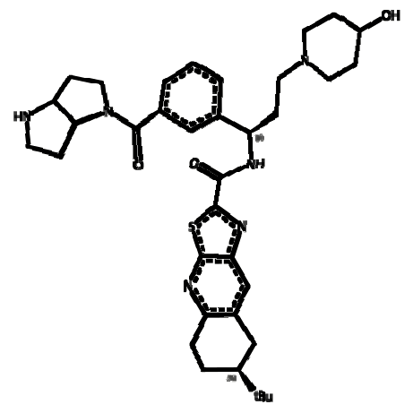 CC(C)(C)[C@H]1CCc2nc3sc(C(=O)N[C@H](CCN4CCC(O)CC4)c4cccc(C(=O)N5CCC6NCCC65)c4)nc3cc2C1